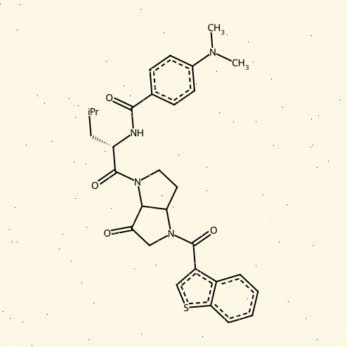 CC(C)C[C@H](NC(=O)c1ccc(N(C)C)cc1)C(=O)N1CCC2C1C(=O)CN2C(=O)c1csc2ccccc12